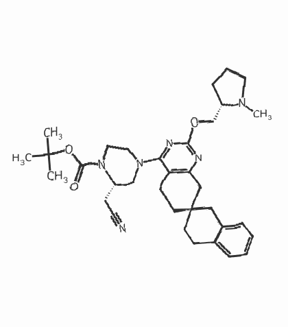 CN1CCC[C@H]1COc1nc2c(c(N3CCN(C(=O)OC(C)(C)C)[C@@H](CC#N)C3)n1)CC[C@@]1(CCc3ccccc3C1)C2